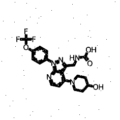 O=C(O)NCc1nn(-c2ccc(OC(F)(F)F)cc2)c2nccc(N3CCC(O)CC3)c12